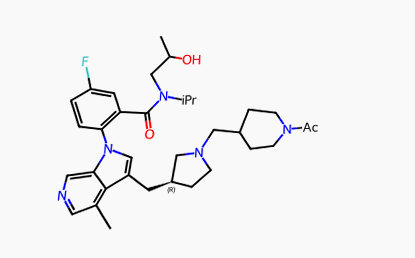 CC(=O)N1CCC(CN2CC[C@@H](Cc3cn(-c4ccc(F)cc4C(=O)N(CC(C)O)C(C)C)c4cncc(C)c34)C2)CC1